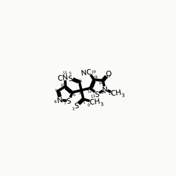 CC(=S)C([C]=S)(c1sncc1C#N)c1sn(C)c(=O)c1C#N